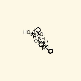 CC(C)(C)[C@]1(C(=O)NNC(=O)[C@@H]2CC[C@@H]3CN2C(=O)N3OCc2ccccc2)CCCCN1C(=O)O